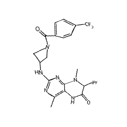 Cc1nc(NC2CN(C(=O)c3ccc(C(F)(F)F)cc3)C2)nc2c1NC(=O)C(C(C)C)N2C